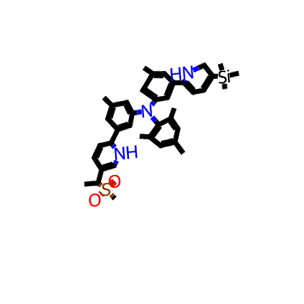 Cc1cc(C2=CC=C([Si](C)(C)C)CN2)cc(N(c2cc(C)cc(C3C=CC(C(C)S(C)(=O)=O)=CN3)c2)c2c(C)cc(C)cc2C)c1